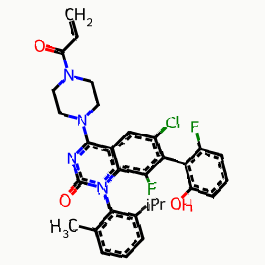 C=CC(=O)N1CCN(c2nc(=O)n(-c3c(C)cccc3C(C)C)c3c(F)c(-c4c(O)cccc4F)c(Cl)cc23)CC1